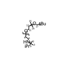 CC(C)C(C)(C)NCCC(C)(C)OCCC(C)(C)OCC(C)(C)C